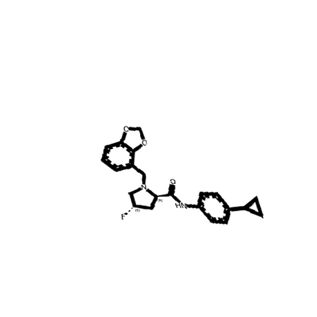 O=C(Nc1ccc(C2CC2)cc1)[C@H]1C[C@H](F)CN1Cc1cccc2c1OCO2